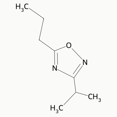 CCCc1nc(C(C)C)no1